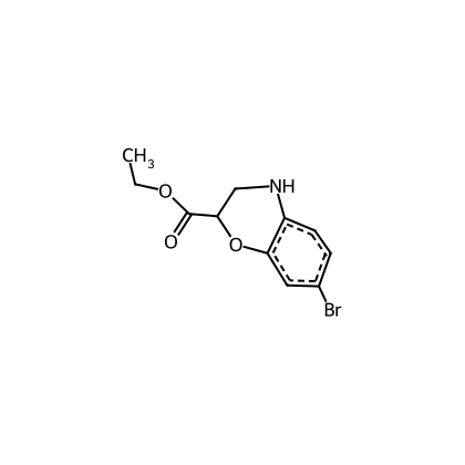 CCOC(=O)C1CNc2ccc(Br)cc2O1